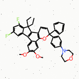 CCC1(CC)c2c(F)cc(F)cc2-c2c1c1c(c3cc(OC)c(OC)cc23)OC(c2ccccc2)(c2ccc(N3CCOCC3)cc2)C=C1